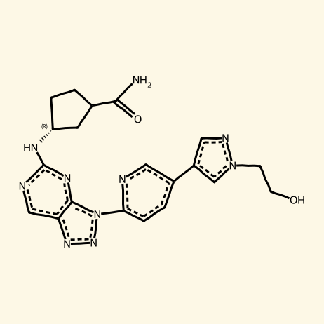 NC(=O)C1CC[C@@H](Nc2ncc3nnn(-c4ccc(-c5cnn(CCO)c5)cn4)c3n2)C1